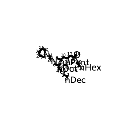 CCCCCCCCCCCCOCC(CN(CCCCCC(=O)OCC(CCCCCC)CCCCCCCC)CCN1CCCCC1)OC(=O)CCCCC